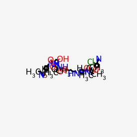 CCc1ncsc1-c1ccc(CNC(=O)[C@@H]2C[C@@H](O)CN2C(=O)C(NC(=O)COCCCCCNc2ccc(C(=O)N[C@H]3C(C)(C)[C@H](Oc4ccc(C#N)c(Cl)c4)C3(C)C)cc2)C(C)(C)C)cc1